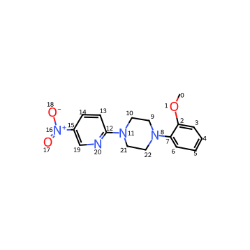 COc1ccccc1N1CCN(c2ccc([N+](=O)[O-])cn2)CC1